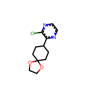 Clc1nccnc1C1CCC2(CC1)OCCO2